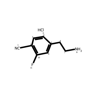 Cl.N#Cc1ccc(CCN)cc1F